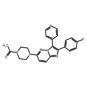 CC(=O)N1CCN(c2ccc3nc(-c4ccc(F)cc4)c(-c4ccncc4)n3n2)CC1